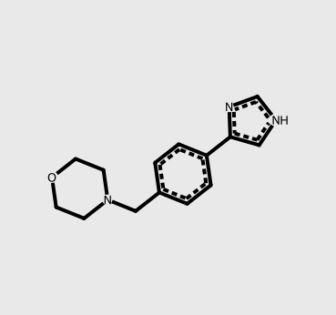 c1nc(-c2ccc(CN3CCOCC3)cc2)c[nH]1